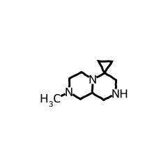 CN1CCN2C(CNCC23CC3)C1